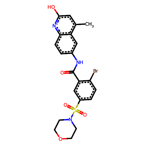 Cc1cc(O)nc2ccc(NC(=O)c3cc(S(=O)(=O)N4CCOCC4)ccc3Br)cc12